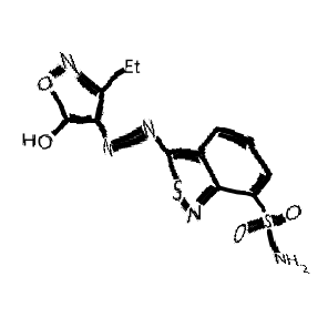 CCc1noc(O)c1N=Nc1snc2c(S(N)(=O)=O)cccc12